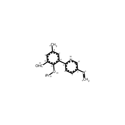 C=Nc1ccc(-c2cc(C)cc(C=O)c2OC(C)C)nc1